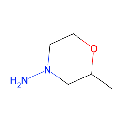 CC1CN(N)CCO1